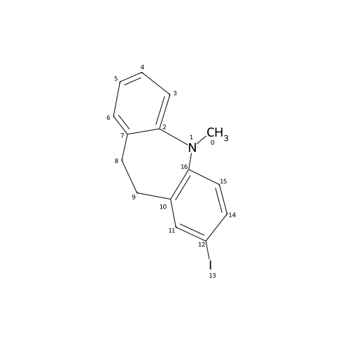 CN1c2ccccc2CCc2cc(I)ccc21